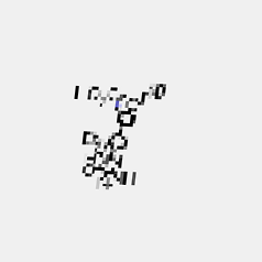 CCOc1cc(-c2ccc(OCCN3CCCC3)c(/C=C(\C)C(=O)O)c2)ccc1-c1nc2[nH]cnc2c(=O)[nH]1